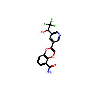 NC(=O)c1cccc2c1OC=C(c1cncc(C(O)C(F)(F)F)c1)O2